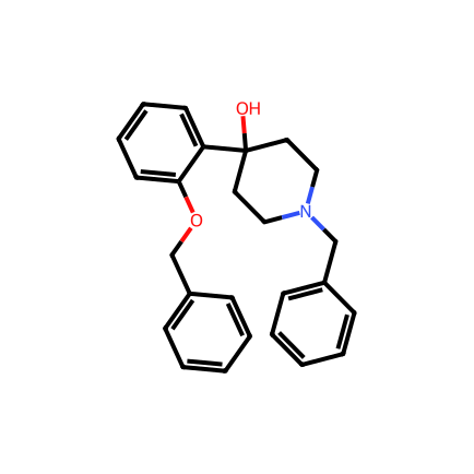 OC1(c2ccccc2OCc2ccccc2)CCN(Cc2ccccc2)CC1